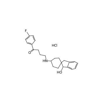 Cl.O=C(CCCNC1CCC2(CC1)Cc1ccccc1C2O)c1ccc(F)cc1